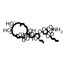 C=C/C=C/C(=O)O[C@H]1C[C@@H](O[C@@H]2C[C@](O)([C@@H](C)[C@H](O)[C@H](C)[C@H]3OC(=O)/C(OC)=C/C(C)=C/[C@@H](C)[C@@H](O)[C@@H](C)[C@@H](O)[C@H](C)C/C(C)=C/C=C/[C@@H]3O)O[C@H](/C=C/C)[C@H]2C)O[C@@H](C)[C@@H]1OC(N)=O